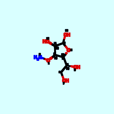 NO[C@@H]1[C@@H]([C@H](O)CO)OC(O)[C@@H]1O